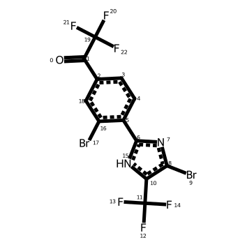 O=C(c1ccc(-c2nc(Br)c(C(F)(F)F)[nH]2)c(Br)c1)C(F)(F)F